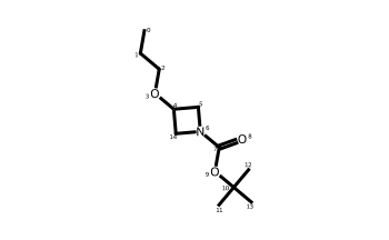 CCCOC1CN(C(=O)OC(C)(C)C)C1